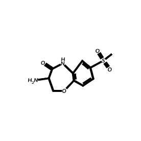 CS(=O)(=O)c1ccc2c(c1)NC(=O)C(N)CO2